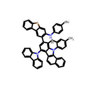 Cc1ccc2c(c1)Bc1c(-c3cc4c(cc3Nc3ccc(C(C)(C)C)cc3)sc3ccccc34)cc(-n3c4ccccc4c4ccccc43)c3c4ccc5ccccc5c4n-2c13